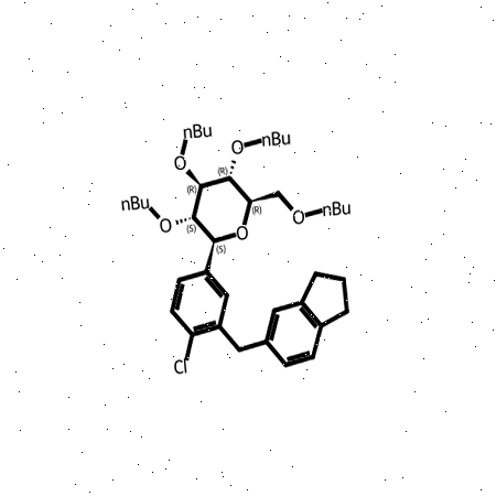 CCCCOC[C@H]1O[C@@H](c2ccc(Cl)c(Cc3ccc4c(c3)CCC4)c2)[C@H](OCCCC)[C@@H](OCCCC)[C@@H]1OCCCC